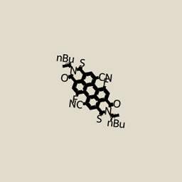 CCCC[C@H](C)N1C(=O)c2cc(F)c3c4c(C#N)cc5c6c(cc(F)c(c7c(C#N)cc(c2c37)C1=S)c64)C(=O)N([C@@H](C)CCCC)C5=S